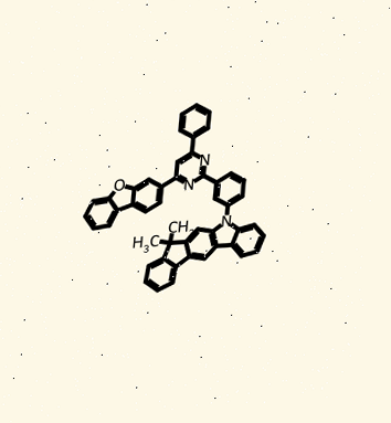 CC1(C)c2ccccc2-c2cc3c4ccccc4n(-c4cccc(-c5nc(-c6ccccc6)cc(-c6ccc7c(c6)oc6ccccc67)n5)c4)c3cc21